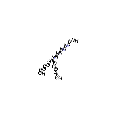 N=N/N=N/N=N/N=N/N=N/N(OOOOOO)OOOOOO